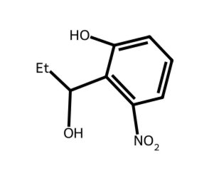 CCC(O)c1c(O)cccc1[N+](=O)[O-]